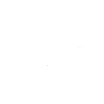 NC(=O)c1ccc(-c2cccc(S(N)(=O)=O)c2-c2nn[nH]n2)cc1